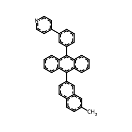 Cc1ccc2ccc(-c3c4ccccc4c(-c4cccc(-c5ccncc5)c4)c4ccccc34)cc2c1